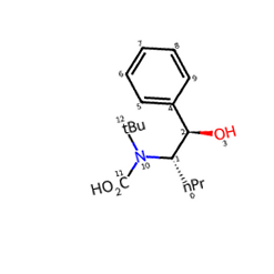 CCC[C@@H]([C@H](O)c1ccccc1)N(C(=O)O)C(C)(C)C